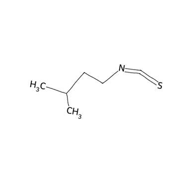 CC(C)CCN=C=S